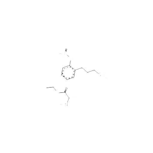 CCOC(=O)[C@H](C)N.NCCCc1ccccc1O[PH2]=O